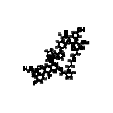 Cc1ncsc1-c1ccc([C@H](C)NC(=O)[C@@H]2C[C@@H](O)CN2C(=O)[C@@H](NC(=O)CCOCCCN2CCCC2COc2nc(N3CC4CCC(C3)N4)c3cc(Cl)c(-c4ccc(F)c5sc(N)nc45)c(F)c3n2)C(C)(C)C)cc1